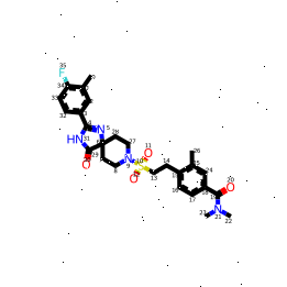 Cc1cc(C2=NC3(CCN(S(=O)(=O)CCc4ccc(C(=O)N(C)C)cc4C)CC3)C(=O)N2)ccc1F